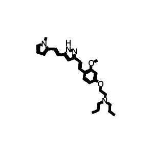 CCCN(CCC)CCOc1ccc(/C=C/c2cc(/C=C/c3cccn3C)[nH]n2)c(OC)c1